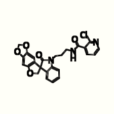 O=C(NCCCN1C(=O)C2(COc3cc4c(cc32)OCO4)c2ccccc21)c1cccnc1Cl